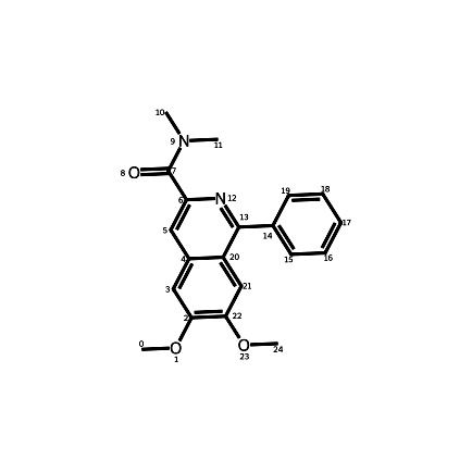 COc1cc2cc(C(=O)N(C)C)nc(-c3ccccc3)c2cc1OC